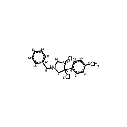 FC(F)(F)c1ccc(C2(Cl)CN(Cc3ccccc3)CN2Cl)cc1